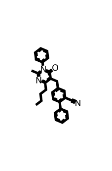 CCCCc1nc(C)n(-c2ccccc2)c(=O)c1Cc1ccc(-c2ccccc2)c(C#N)c1